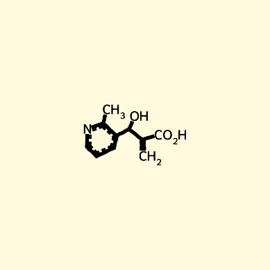 C=C(C(=O)O)C(O)c1cccnc1C